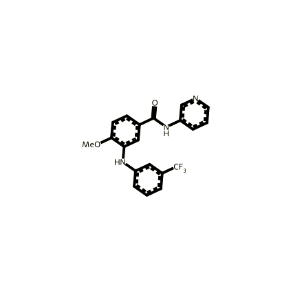 COc1ccc(C(=O)Nc2cccnc2)cc1Nc1cccc(C(F)(F)F)c1